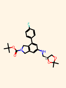 CC(C)(C)OC(=O)N1Cc2cc(NC[C@H]3COC(C)(C)O3)cc(-c3ccc(F)cc3)c2C1